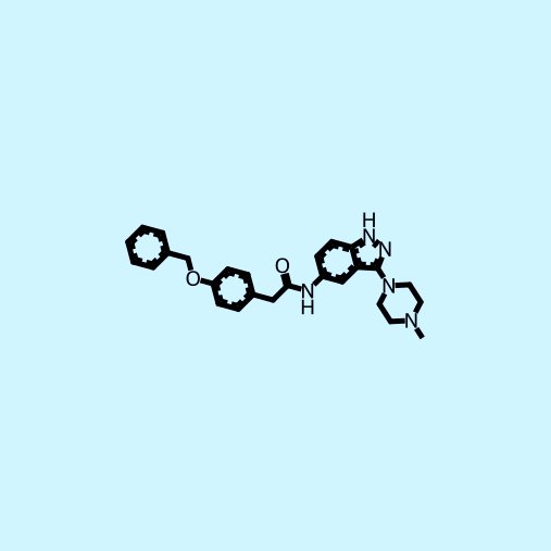 CN1CCN(c2n[nH]c3ccc(NC(=O)Cc4ccc(OCc5ccccc5)cc4)cc23)CC1